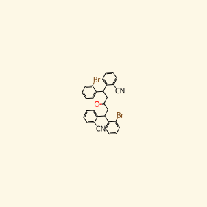 N#Cc1ccccc1C(CC(=O)CC(c1ccccc1Br)c1ccccc1C#N)c1ccccc1Br